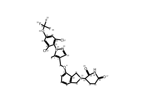 Cc1c(COc2cccc3c2CN(C2CCC(=O)NC2=O)C3)cnn1-c1c(Cl)cc(OC(F)(F)F)cc1Cl